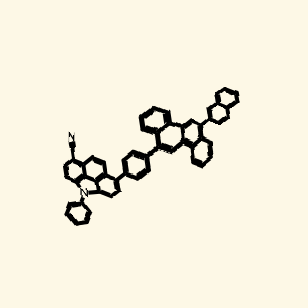 N#Cc1ccc2c3c1ccc1c(-c4ccc(-c5cc6c7ccccc7c(-c7ccc8ccccc8c7)cc6c6ccccc56)cc4)ccc(c13)n2-c1ccccc1